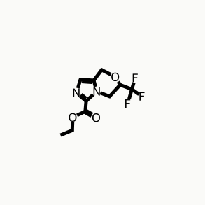 CCOC(=O)c1ncc2n1CC(C(F)(F)F)OC2